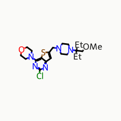 CCC(CC)(COC)N1CCN(Cc2cc3nc(Cl)nc(N4CCOCC4)c3s2)CC1